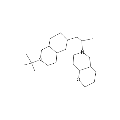 CC(CC1CCC2CN(C(C)(C)C)CCC2C1)N1CCC2OCCCC2C1